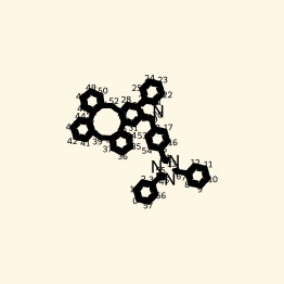 c1ccc(-c2nc(-c3ccccc3)nc(-c3ccc(-c4nc5ccccc5c5cc6c(cc45)-c4ccccc4Cc4ccccc4-c4ccccc4C6)cc3)n2)cc1